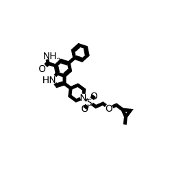 CC1CC1COCCS(=O)(=O)N1CCC(c2c[nH]c3c(C(N)=O)cc(-c4ccccc4)cc23)CC1